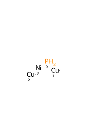 P.[Cu].[Cu].[Ni]